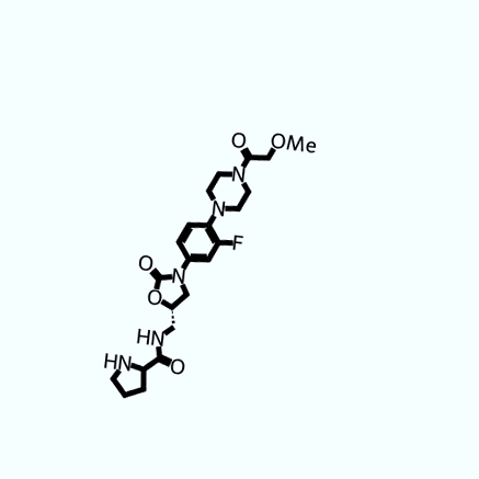 COCC(=O)N1CCN(c2ccc(N3C[C@H](CNC(=O)C4CCCN4)OC3=O)cc2F)CC1